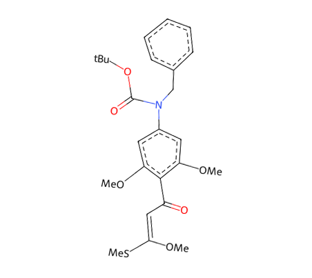 CO/C(=C\C(=O)c1c(OC)cc(N(Cc2ccccc2)C(=O)OC(C)(C)C)cc1OC)SC